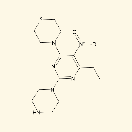 CCc1nc(N2CCNCC2)nc(N2CCSCC2)c1[N+](=O)[O-]